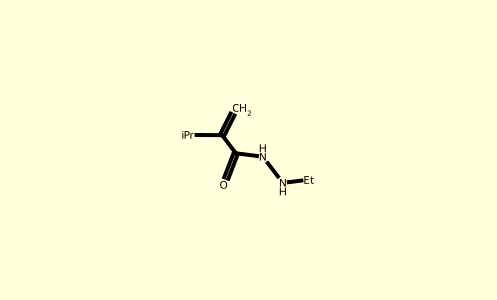 C=C(C(=O)NNCC)C(C)C